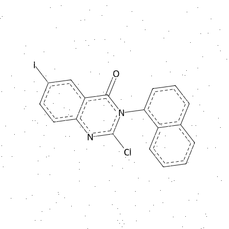 O=c1c2cc(I)ccc2nc(Cl)n1-c1cccc2ccccc12